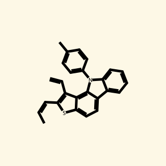 C=Cc1c(/C=C\C)sc2ccc3c4ccccc4n(-c4ccc(C)cc4)c3c12